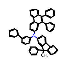 CC1(c2ccccc2)c2ccccc2-c2ccc(N(c3cccc(-c4ccccc4)c3)c3ccc4c(c3)c(-c3ccccc3)c(-c3ccccc3)c3ccccc34)cc21